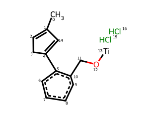 CC1=CCC(c2ccccc2C[O][Ti])=C1.Cl.Cl